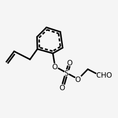 C=CCc1ccccc1OS(=O)(=O)OCC=O